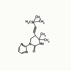 CC1(C)NC(=O)N(c2ncccn2)CC1C#C[Si](C)(C)C